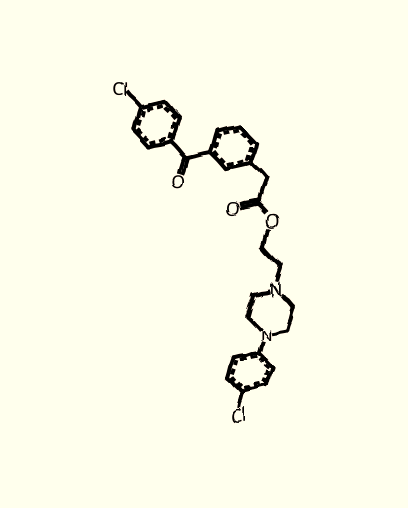 O=C(Cc1cccc(C(=O)c2ccc(Cl)cc2)c1)OCCN1CCN(c2ccc(Cl)cc2)CC1